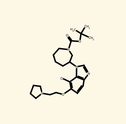 CC(C)(C)OC(=O)N1CCCCC(n2cnc3ccc(OCCN4CCCC4)c(Cl)c32)C1